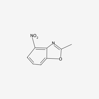 Cc1nc2c([N+](=O)[O-])cccc2o1